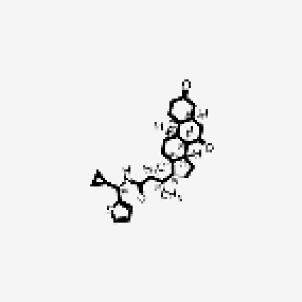 C[C@H](CC(=O)N[C@@H](c1cccs1)C1CC1)[C@H]1CC[C@H]2[C@@H]3C(=O)C[C@@H]4CC(=O)CC[C@]4(C)[C@H]3CC[C@]12C